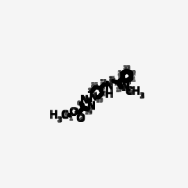 CCOC(=O)c1cnc(N2CCC(CNCc3cn(C)c4ccccc34)CC2)nc1